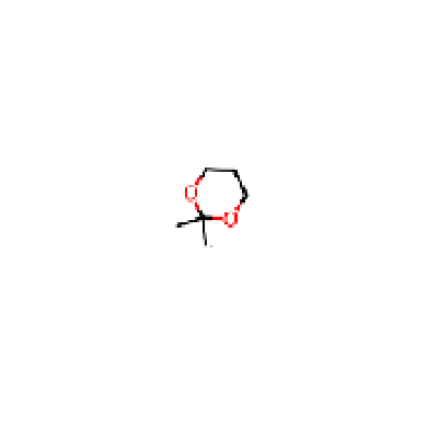 [CH2]C1(C)OCCCO1